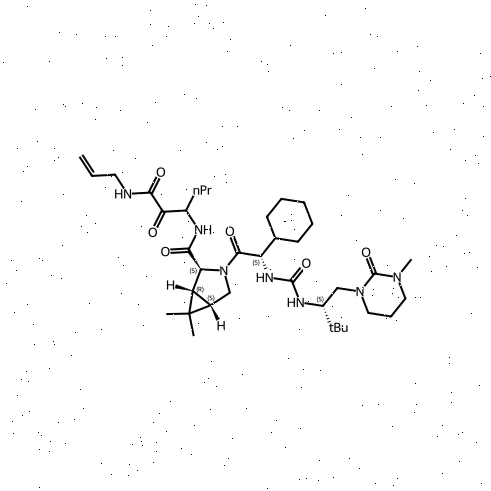 C=CCNC(=O)C(=O)C(CCC)NC(=O)[C@@H]1[C@@H]2[C@H](CN1C(=O)[C@@H](NC(=O)N[C@H](CN1CCCN(C)C1=O)C(C)(C)C)C1CCCCC1)C2(C)C